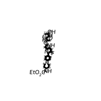 CCOC(=O)NC1CCN(c2ccc(-c3nc4cc(O[C@@H]5CO[C@H]6[C@@H]5OC[C@H]6O)[nH]c4cc3F)cc2)CC1